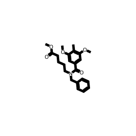 COC(=O)CCCCN(Cc1ccccc1)C(=O)c1cc(OC)c(C)c(OC)c1